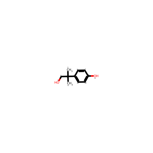 CC(C)(CO)c1ccc(O)cc1